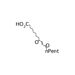 CCCCCC1OC1/C=C/C(=O)CCCCCCCC(=O)O